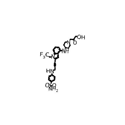 NS(=O)(=O)c1ccc(NCC#Cc2cc3c(NC4CCN(CC(=O)CO)CC4)cccc3n2CC(F)(F)F)cc1